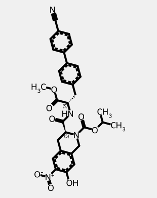 COC(=O)[C@H](Cc1ccc(-c2ccc(C#N)cc2)cc1)NC(=O)[C@@H]1Cc2cc([N+](=O)[O-])c(O)cc2CN1C(=O)OC(C)C